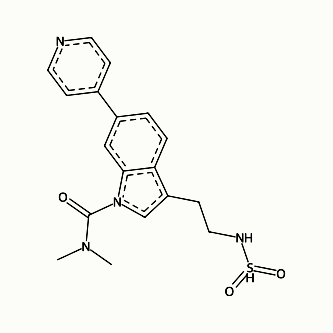 CN(C)C(=O)n1cc(CCN[SH](=O)=O)c2ccc(-c3ccncc3)cc21